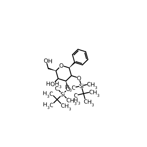 CC(C)(C)[Si](C)(C)OC1[C@@H](O[Si](C)(C)C(C)(C)C)C(O)[C@@H](CO)O[C@H]1c1ccccc1